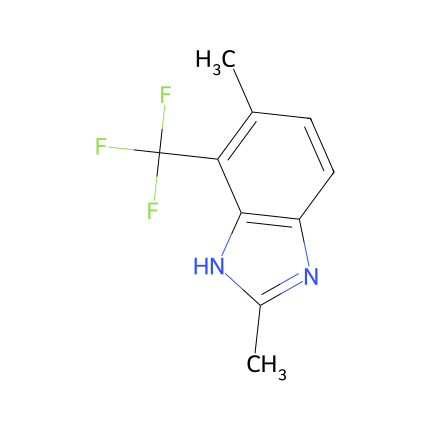 Cc1nc2ccc(C)c(C(F)(F)F)c2[nH]1